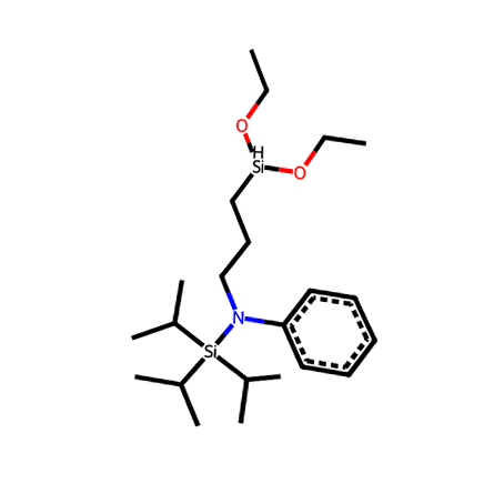 CCO[SiH](CCCN(c1ccccc1)[Si](C(C)C)(C(C)C)C(C)C)OCC